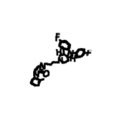 Cc1ccccc1-n1ccn(CCCCN2CC[C@@H]3[C@@H](C2)c2cc(F)ccc2N3c2ccc(F)cc2)c1=O